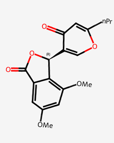 CCCc1cc(=O)c([C@@H]2OC(=O)c3cc(OC)cc(OC)c32)co1